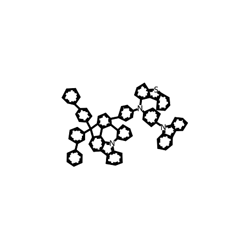 c1ccc(-c2ccc(C3(c4cccc(-c5ccccc5)c4)c4ccc(-c5ccc(N(c6ccc(-n7c8ccccc8c8ccccc87)cc6)c6cccc7sc8ccccc8c67)cc5)c5c4-c4c3ccc3c6ccccc6n(c43)-c3ccccc3-5)cc2)cc1